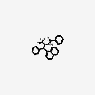 O=C(N[C@H](C(=O)O)C(c1ccccc1)c1cccc2ccccc12)c1ccccc1